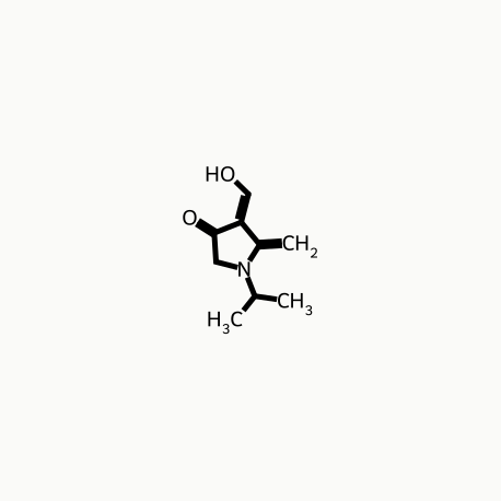 C=C1/C(=C/O)C(=O)CN1C(C)C